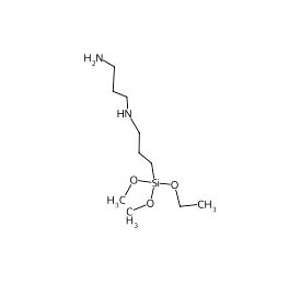 CCO[Si](CCCNCCCN)(OC)OC